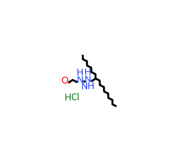 CCCCCCCCCC(CCCCCCC)CNC(=N)NCCC=O.Cl